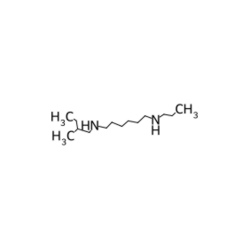 CCCNCCCCCCNCC(C)CC